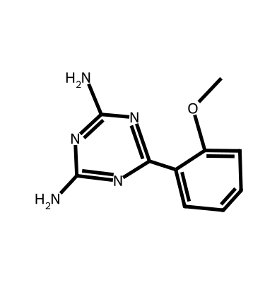 COc1ccccc1-c1nc(N)nc(N)n1